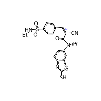 CCNS(=O)(=O)c1ccc(/C=C(/C#N)C(=O)N(c2ccc3nc(S)sc3c2)C(C)C)cc1